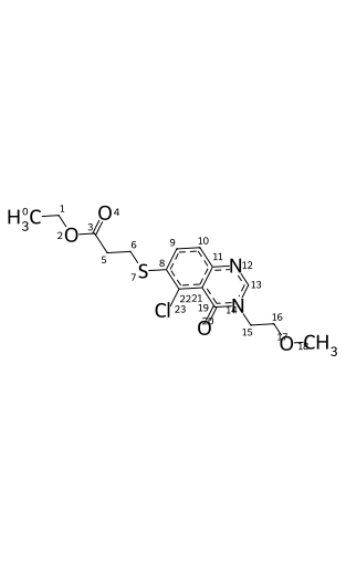 CCOC(=O)CCSc1ccc2ncn(CCOC)c(=O)c2c1Cl